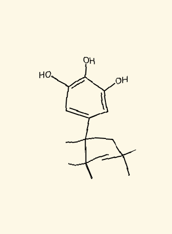 CC(C)(C)CC(C)(c1cc(O)c(O)c(O)c1)C(C)(C)C